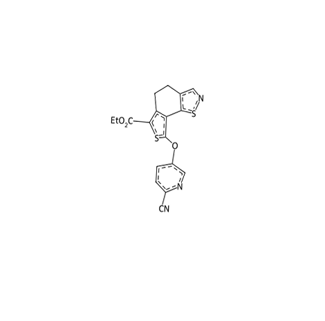 CCOC(=O)c1sc(Oc2ccc(C#N)nc2)c2c1CCc1cnsc1-2